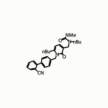 CCCCc1ccc(CN(CCCC)C(=O)NC)c(=O)n1Cc1ccc(-c2ccccc2C#N)cc1